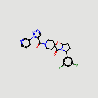 O=C(c1cnnn1-c1cccnc1)N1CCC2(CC1)OC1CCC(c3cc(F)cc(F)c3)N1C2=O